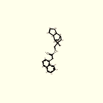 CC1(COC(=O)Cc2cccc3ccccc23)CC2CC1C1CCCC21